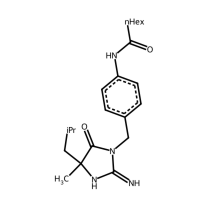 CCCCCCC(=O)Nc1ccc(CN2C(=N)NC(C)(CC(C)C)C2=O)cc1